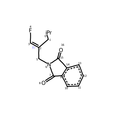 CC(C)C/C(=C\F)CN1C(=O)c2ccccc2C1=O